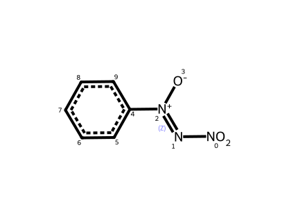 O=[N+]([O-])/N=[N+](\[O-])c1ccccc1